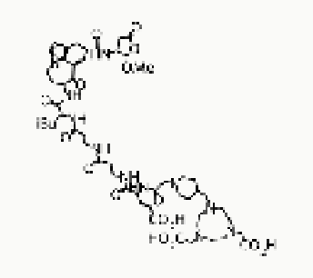 CCC(C)C(NC(=O)CCNC(=O)CCNC(=O)C(CCC(=O)O)NC(=O)CN1CCC(CN2CCN(CC(=O)O)CCN(CC(=O)O)CC2)CC1)C(=O)N[C@H]1CCn2ccc3c2C(=C[C@@H](C(=O)N[C@H]2CC(=O)O[C@@H]2OC)C3)C1=O